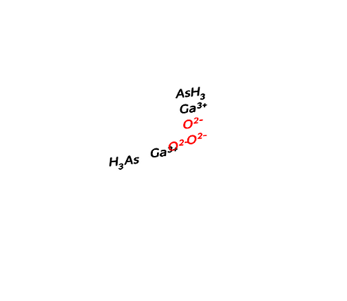 [AsH3].[AsH3].[Ga+3].[Ga+3].[O-2].[O-2].[O-2]